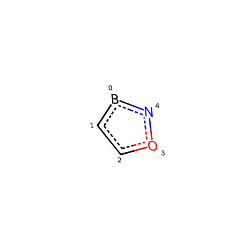 b1ccon1